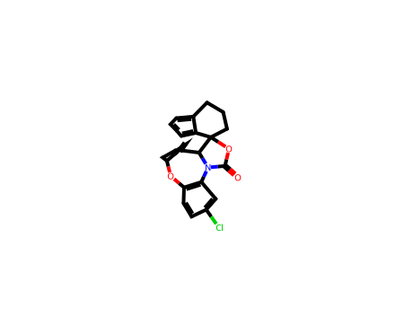 O=C1OC2(CCCc3ccccc32)C2c3ccccc3Oc3ccc(Cl)cc3N12